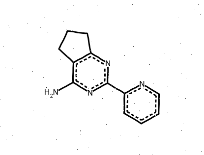 Nc1nc(-c2ccccn2)nc2c1CCC2